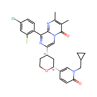 Cc1nc2c(-c3ccc(Cl)cc3F)nc([C@H]3CCO[C@@H](c4ccc(=O)n(CC5CC5)c4)C3)cn2c(=O)c1C